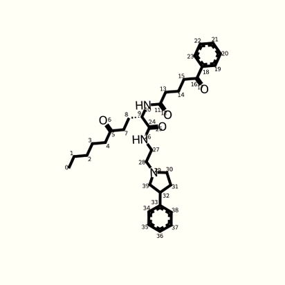 CCCCCC(=O)CC[C@H](NC(=O)CCCC(=O)c1ccccc1)C(=O)NCCN1CCC(c2ccccc2)C1